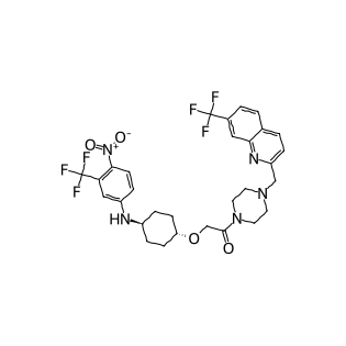 O=C(CO[C@H]1CC[C@H](Nc2ccc([N+](=O)[O-])c(C(F)(F)F)c2)CC1)N1CCN(Cc2ccc3ccc(C(F)(F)F)cc3n2)CC1